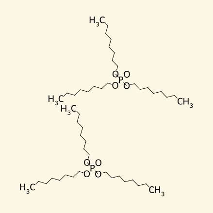 CCCCCCCCOP(=O)(OCCCCCCCC)OCCCCCCCC.CCCCCCCCOP(=O)(OCCCCCCCC)OCCCCCCCC